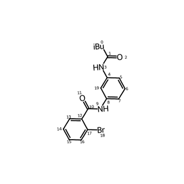 CCC(C)C(=O)Nc1cccc(NC(=O)c2ccccc2Br)c1